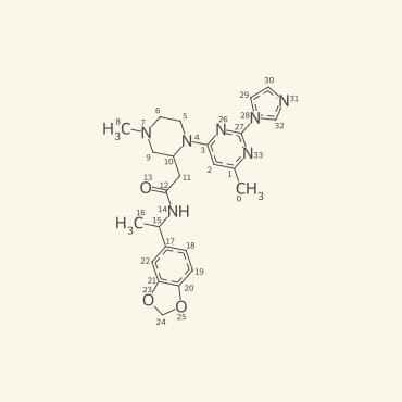 Cc1cc(N2CCN(C)CC2CC(=O)NC(C)c2ccc3c(c2)OCO3)nc(-n2ccnc2)n1